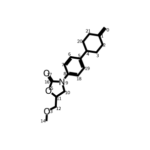 C=C1CCC(c2ccc(N3CC(COC)OC3=O)cc2)CC1